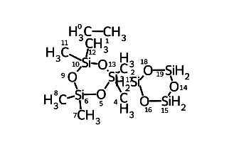 CC.C[Si]1(C)O[Si](C)(C)O[Si](C)(C)O1.O1[SiH2]O[SiH2]O[SiH2]1